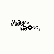 CO[PH](N=NC(O)CC(O)c1ccc([N+](=O)[O-])cc1)(OC)OC